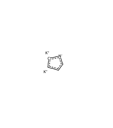 [K+].[K+].[c-]1ccc[n-]1